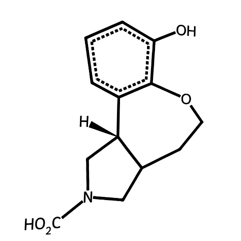 O=C(O)N1CC2CCOc3c(O)cccc3[C@H]2C1